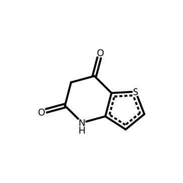 O=C1CC(=O)c2sccc2N1